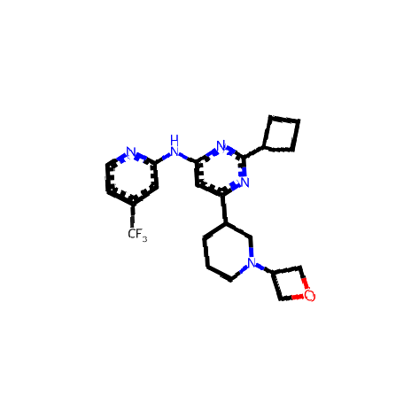 FC(F)(F)c1ccnc(Nc2cc(C3CCCN(C4COC4)C3)nc(C3CCC3)n2)c1